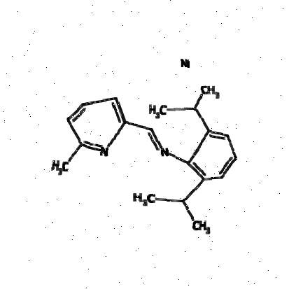 Cc1cccc(C=Nc2c(C(C)C)cccc2C(C)C)n1.[Ni]